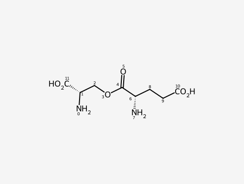 N[C@@H](COC(=O)[C@@H](N)CCC(=O)O)C(=O)O